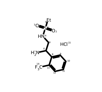 CCS(=O)(=O)NCC(N)c1ccccc1C(F)(F)F.Cl